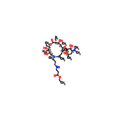 CCOC(=O)CCNCCCN1C[C@H](C)C[C@@](C)(O)[C@H](O[C@@H]2O[C@H](C)C[C@H](N(C)C)[C@H]2O)[C@@H](C)[C@H](O)[C@@H](C)C(=O)O[C@H](CC)[C@@](C)(O)[C@H](O)[C@H]1C